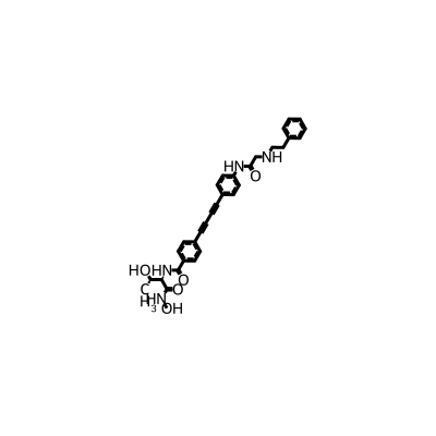 C[C@@H](O)[C@H](NC(=O)c1ccc(C#CC#Cc2ccc(NC(=O)CNCCc3ccccc3)cc2)cc1)C(=O)NO